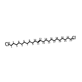 ClCCCCCCCCCCC=CCCCCCCCCCCCCl